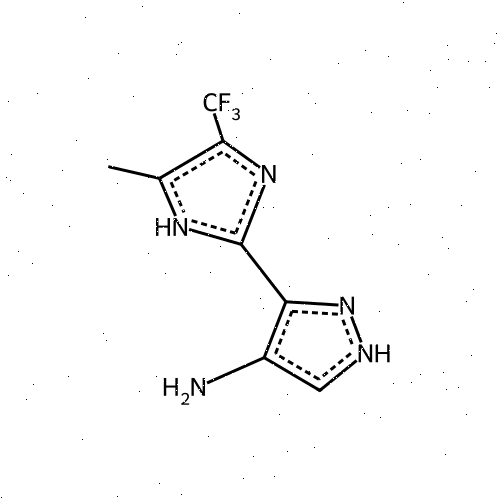 Cc1[nH]c(-c2n[nH]cc2N)nc1C(F)(F)F